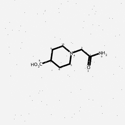 NC(=O)CN1CCC(C(=O)O)CC1